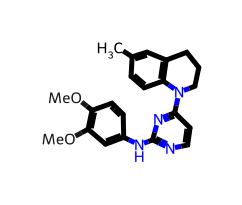 COc1ccc(Nc2nccc(N3CCCc4cc(C)ccc43)n2)cc1OC